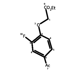 CCOC(=O)COc1ccc(C(C)=O)cc1F